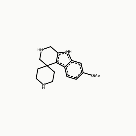 COc1ccc2c3c([nH]c2c1)CNCC31CCNCC1